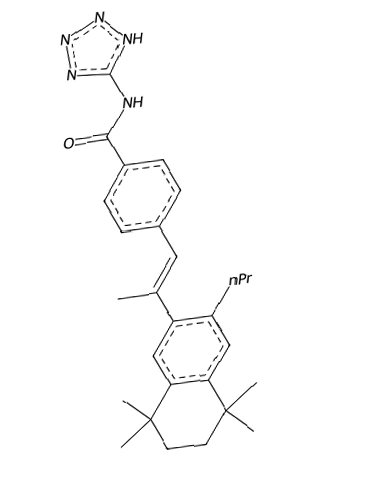 CCCc1cc2c(cc1C(C)=Cc1ccc(C(=O)Nc3nnn[nH]3)cc1)C(C)(C)CCC2(C)C